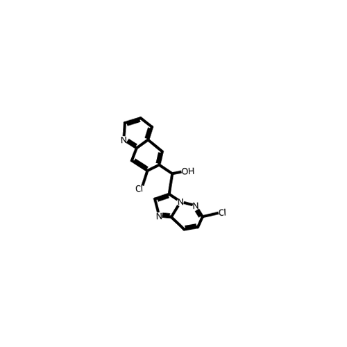 OC(c1cc2cccnc2cc1Cl)c1cnc2ccc(Cl)nn12